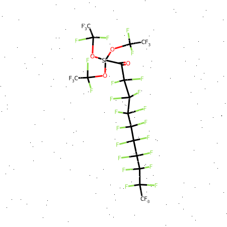 O=C(C(F)(F)C(F)(F)C(F)(F)C(F)(F)C(F)(F)C(F)(F)C(F)(F)C(F)(F)C(F)(F)F)[Si](OC(F)(F)C(F)(F)F)(OC(F)(F)C(F)(F)F)OC(F)(F)C(F)(F)F